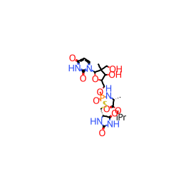 CC(C)OC(=O)[C@@H](C)NP(=O)(OCC1OC(n2ccc(=O)[nH]c2=O)C(C)(CO)C1O)SC[C@H]1NC(=O)NC1=O